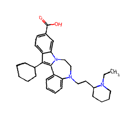 CCN1CCCCC1CCN1CCn2c(c(C3CCCCC3)c3ccc(C(=O)O)cc32)-c2ccccc21